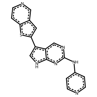 c1cc(Nc2ncc3c(-c4cc5cnccc5s4)c[nH]c3n2)ccn1